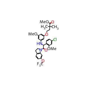 COC(=O)C(C)(C)CCOc1cc(NC(C(=O)N2CCc3ccc(OC(F)(F)F)cc32)c2ccc(Cl)cc2OC)cc(OC)c1